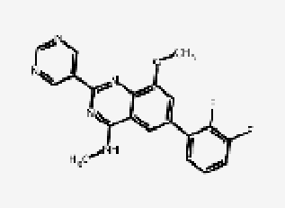 CNc1nc(-c2cncnc2)nc2c(OC)cc(-c3cccc(F)c3F)cc12